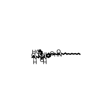 CCCCCCCCCCCCNC(=O)CCCOc1ccc(NC(NC(=O)CC(C)O)C(=O)NCCNC(C)=O)cc1